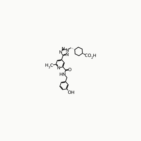 Cc1cc(-c2nnn(C[C@H]3CC[C@H](C(=O)O)CC3)n2)cc(C(=O)NCc2cccc(O)c2)n1